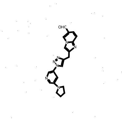 O=Cc1ccc2nc(Cc3cn(-c4cncc(N5CCCC5)c4)nn3)cn2c1